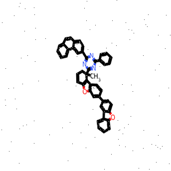 CC1(c2nc(-c3ccccc3)nc(-c3ccc4ccc5ccccc5c4c3)n2)CC=Cc2oc3cc(-c4ccc5oc6ccccc6c5c4)ccc3c21